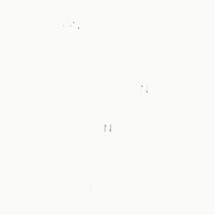 O=Nc1ccnc(N2CCOCC2)c1